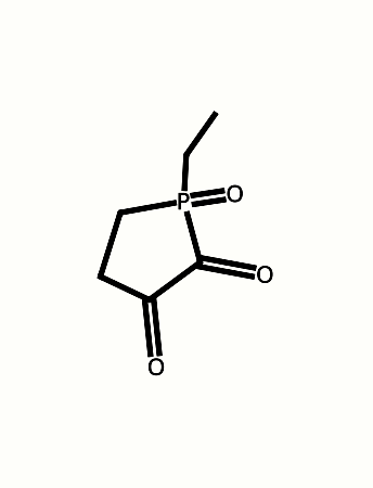 CCP1(=O)CCC(=O)C1=O